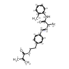 C=C(C)C(=O)OCCc1ccc(/N=N/C(C(C)=O)C(=O)Nc2ccccc2C)cc1